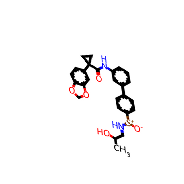 CC(O)CN[S+]([O-])c1ccc(-c2cccc(NC(=O)C3(c4ccc5c(c4)OCO5)CC3)c2)cc1